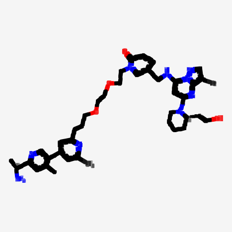 CCc1cnn2c(NCc3ccc(=O)n(CCOCCOCCCc4cc(-c5cnc([C@H](C)N)cc5C)cc(C(F)(F)F)n4)c3)cc(N3CCCC[C@H]3CCO)nc12